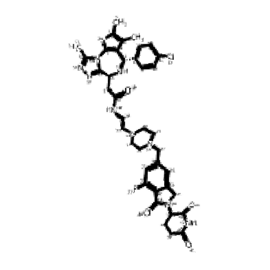 Cc1sc2c(c1C)[C@H](c1ccc(Cl)cc1)NC(CC(=O)NCCN1CCN(Cc3cc(F)c4c(c3)CN(C3CCC(=O)NC3=O)C4=O)CC1)c1nnc(C)n1-2